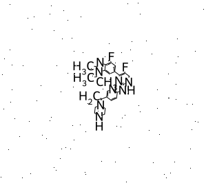 C=C(c1ccc(Nc2ncc(F)c(-c3cc(F)c4nc(C)n(C(C)C)c4c3)n2)nc1)N1CCNCC1